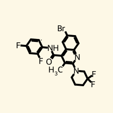 Cc1c(N2CCCC(F)(F)C2)nc2ccc(Br)cc2c1C(=O)Nc1[c]cc(F)cc1F